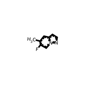 Cc1cc2ccnn2cc1F